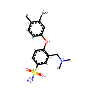 CSc1cc(Oc2ccc(S(N)(=O)=O)cc2CN(C)C)ccc1C